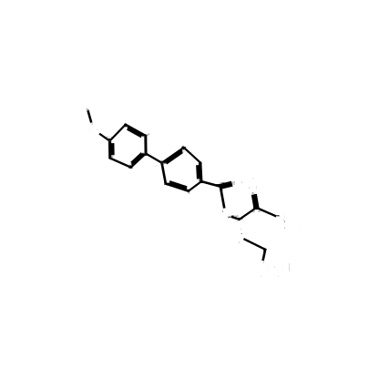 CCOc1ccc(-c2ccc(C(=O)N[C@@H](CCC(=O)O)C(N)=O)cc2)cc1